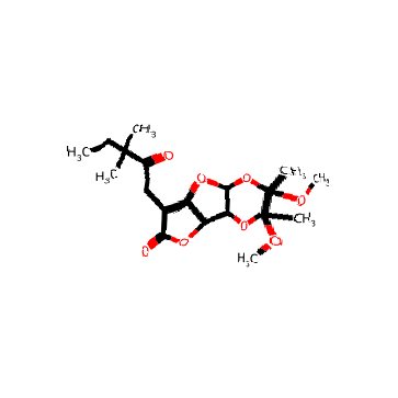 CCC(C)(C)C(=O)CC1C(=O)OC2C3OC(C)(OC)C(C)(OC)OC3OC12